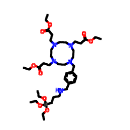 CCOC(=O)CCN1CCN(CCC(=O)OCC)CCN(Cc2ccc(CNCCC[Si](OCC)(OCC)OCC)cc2)CCN(CCC(=O)OCC)CC1